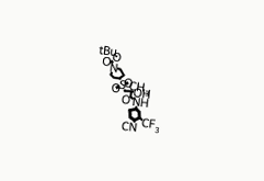 CC(C)(C)OC(=O)N1CCC(S(=O)(=O)C[C@](C)(O)C(=O)Nc2ccc(C#N)c(C(F)(F)F)c2)CC1